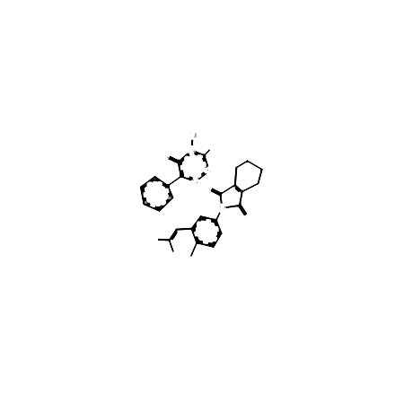 CCOC(=O)/C(Cl)=C/c1cc(N2C(=O)C3=C(CCCC3)C2=O)ccc1Cl.Cc1nnc(-c2ccccc2)c(=O)n1N